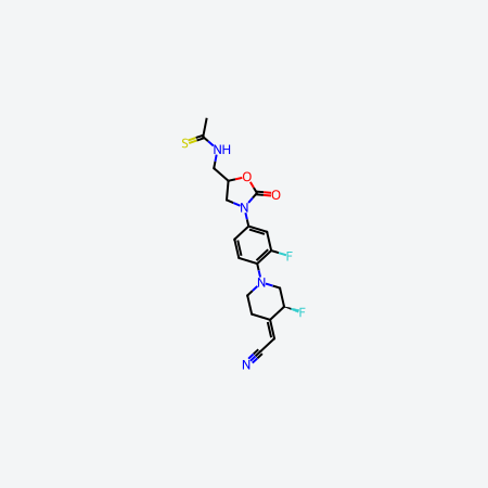 CC(=S)NCC1CN(c2ccc(N3CCC(=CC#N)[C@H](F)C3)c(F)c2)C(=O)O1